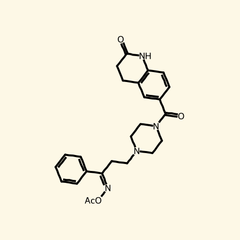 CC(=O)ON=C(CCN1CCN(C(=O)c2ccc3c(c2)CCC(=O)N3)CC1)c1ccccc1